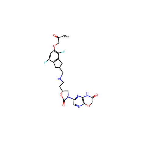 CNC(=O)COc1cc(F)c2c(c1F)CC(CNCCC1CN(c3cnc4c(n3)NC(=O)CO4)C(=O)O1)C2